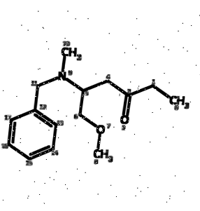 CCC(=O)CC(COC)N(C)Cc1ccccc1